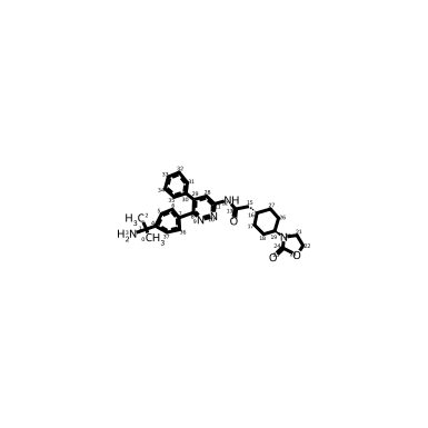 CC(C)(N)c1ccc(-c2nnc(NC(=O)C[C@H]3CC[C@H](N4CCOC4=O)CC3)cc2-c2ccccc2)cc1